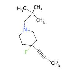 CC#CC1(F)CCN(CC(C)(C)C)CC1